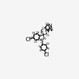 FC(CSc1ccc(Cl)cc1)(Cn1ccnn1)c1ccc(Cl)cc1